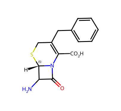 NC1C(=O)N2C(C(=O)O)=C(Cc3ccccc3)CS[C@@H]12